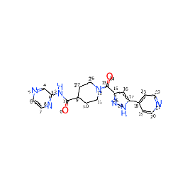 O=C(Nc1cnccn1)C1CCN(C(=O)c2cc(-c3ccncc3)[nH]n2)CC1